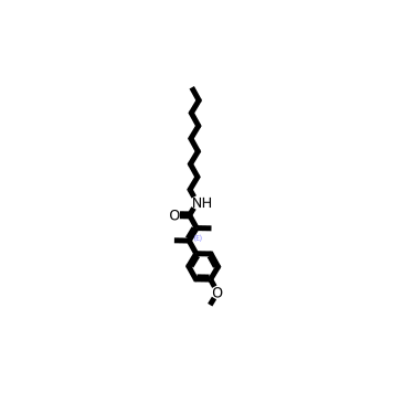 CCCCCCCCCNC(=O)/C(C)=C(\C)c1ccc(OC)cc1